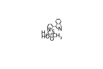 CC(C)(Sc1ncccc1-c1cncc2ccccc12)C(=O)O